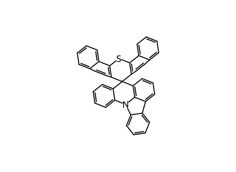 c1ccc2c(c1)-n1c3ccccc3c3cccc(c31)C21c2ccc3ccccc3c2Sc2c1ccc1ccccc21